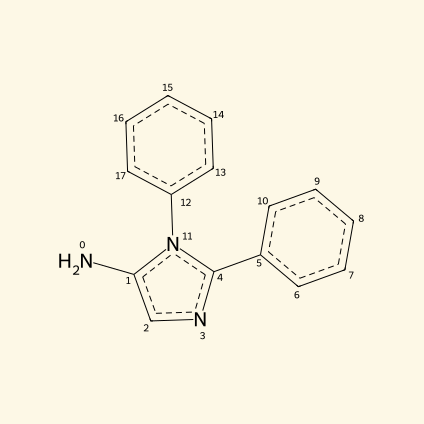 Nc1cnc(-c2ccccc2)n1-c1ccccc1